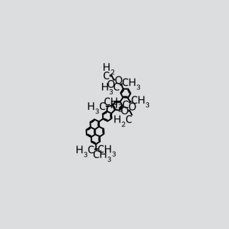 C=CC(=O)OC(C)(C)c1ccc(C(C)(C)OC(=O)C=C)c(-c2ccc3c(c2)C(C)(C)c2cc(-c4ccc5ccc6cc(C(C)(C)C)cc7ccc4c5c67)ccc2-3)c1